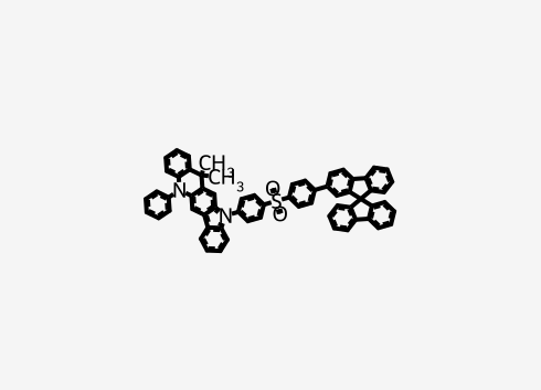 CC1(C)c2ccccc2N(c2ccccc2)c2cc3c4ccccc4n(-c4ccc(S(=O)(=O)c5ccc(-c6ccc7c(c6)C6(c8ccccc8-c8ccccc86)c6ccccc6-7)cc5)cc4)c3cc21